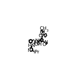 Cc1csc([C@H]2CCCN2C(=O)c2cc(C(=O)N[C@@H](Cc3ccccc3)[C@H](O)CNCc3cncc(C(C)C)c3)cc(-c3ncco3)c2)n1